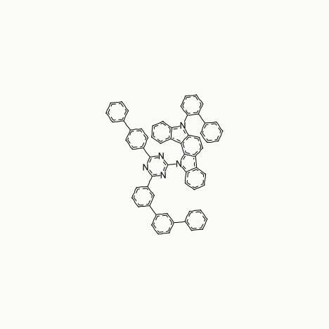 c1ccc(-c2ccc(-c3nc(-c4cccc(-c5cccc(-c6ccccc6)c5)c4)nc(-n4c5ccccc5c5ccc6c(c7ccccc7n6-c6ccccc6-c6ccccc6)c54)n3)cc2)cc1